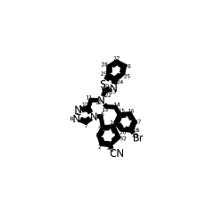 N#Cc1ccc(Cn2cnnc2CN(CCc2ccc(Br)cc2)c2nc3ccccc3s2)cc1